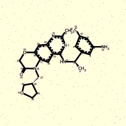 Cc1nc(N[C@H](C)c2cc(N)cc(C(F)(F)F)c2)c2cc3c(cc2n1)OCC(=O)N3C[C@@H]1CCOC1